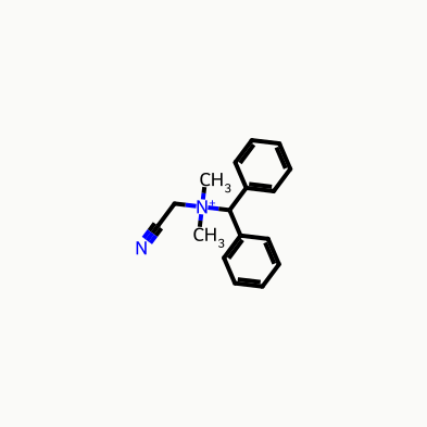 C[N+](C)(CC#N)C(c1ccccc1)c1ccccc1